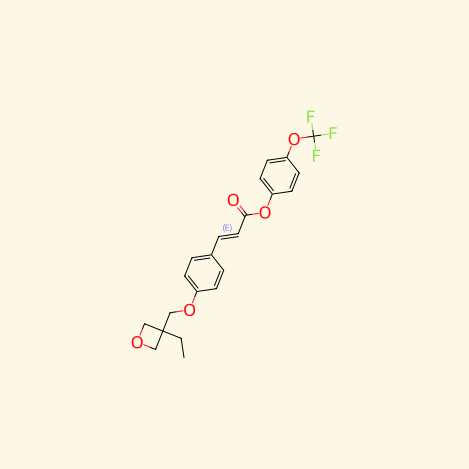 CCC1(COc2ccc(/C=C/C(=O)Oc3ccc(OC(F)(F)F)cc3)cc2)COC1